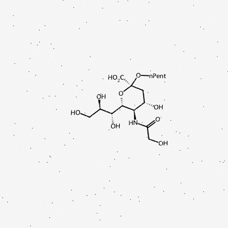 CCCCCO[C@@]1(C(=O)O)C[C@H](O)[C@@H](NC(=O)CO)[C@H]([C@H](O)[C@H](O)CO)O1